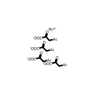 CC(=O)CC(=O)C(=O)[O-].CC(=O)CC(=O)C(=O)[O-].CC(=O)CC(=O)C(=O)[O-].CC(=O)CC(=O)C(=O)[O-].[Ru+4]